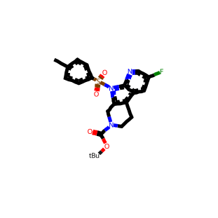 Cc1ccc(S(=O)(=O)n2c3c(c4cc(F)cnc42)CCN(C(=O)OC(C)(C)C)C3)cc1